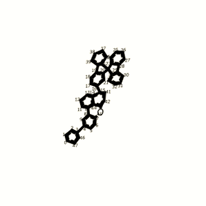 c1ccc(-c2ccc3c(c2)-c2cccc4c(-c5ccc6c(c5)C5(c7ccccc7-c7ccccc75)c5ccccc5-6)ccc(c24)O3)cc1